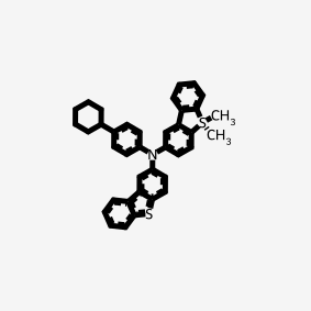 CS1(C)c2ccccc2-c2cc(N(c3ccc(C4CCCCC4)cc3)c3ccc4sc5ccccc5c4c3)ccc21